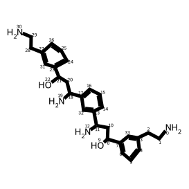 NCCc1cccc(C(O)CC(N)c2cccc(C(N)CC(O)c3cccc(CCN)c3)c2)c1